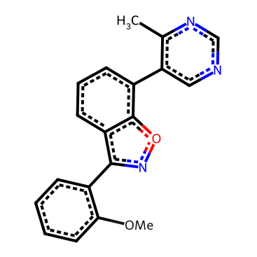 COc1ccccc1-c1noc2c(-c3cncnc3C)cccc12